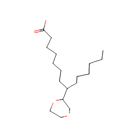 CCCCCCC(CCCCCCC(=O)O)C1COCCO1